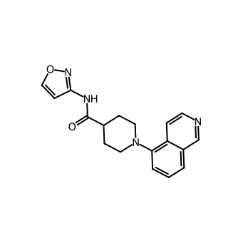 O=C(Nc1ccon1)C1CCN(c2cccc3cnccc23)CC1